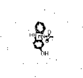 CS(=O)(=O)Nc1cc(O)ccc1Nc1ccccc1